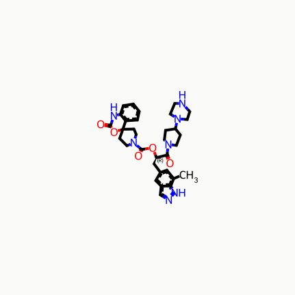 Cc1cc(C[C@@H](OC(=O)N2CCC3(CC2)OC(=O)Nc2ccccc23)C(=O)N2CCC(N3CCNCC3)CC2)cc2cn[nH]c12